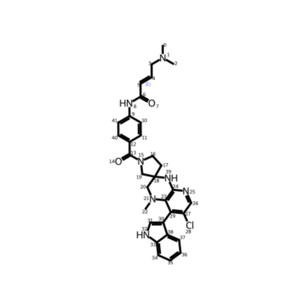 CN(C)C/C=C/C(=O)Nc1ccc(C(=O)N2CCC3(C2)CN(C)c2c(ncc(Cl)c2-c2c[nH]c4ccccc24)N3)cc1